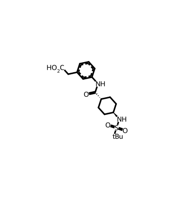 CC(C)(C)S(=O)(=O)N[C@H]1CC[C@H](C(=O)Nc2cccc(CC(=O)O)c2)CC1